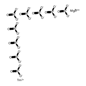 O=[N+]([O-])[O-].O=[N+]([O-])[O-].O=[N+]([O-])[O-].O=[N+]([O-])[O-].O=[N+]([O-])[O-].O=[N+]([O-])[O-].O=[N+]([O-])[O-].O=[N+]([O-])[O-].O=[N+]([O-])[O-].[Mg+2].[Tm+3].[Zr+4]